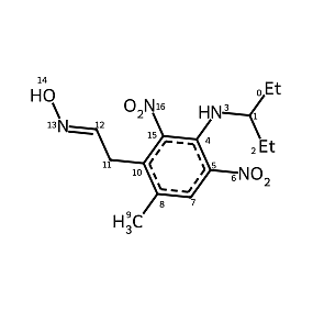 CCC(CC)Nc1c([N+](=O)[O-])cc(C)c(CC=NO)c1[N+](=O)[O-]